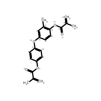 C=C(C)C(=O)Oc1ccc(Oc2ccc(OC(=O)C(=C)C)c(C)c2)cc1